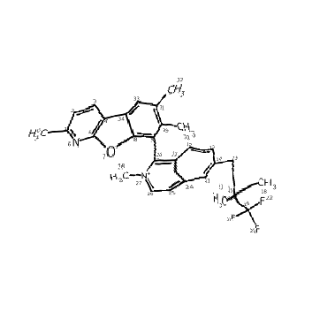 Cc1ccc2c(n1)oc1c(-c3c4ccc(CC(C)(C)C(F)(F)F)cc4cc[n+]3C)c(C)c(C)cc12